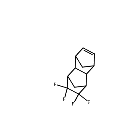 FC1(F)C2CC(C3C4C=CC(C4)C32)C1(F)F